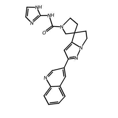 O=C(Nc1ncc[nH]1)N1CCC2(CCn3nc(-c4cnc5ccccc5c4)cc32)C1